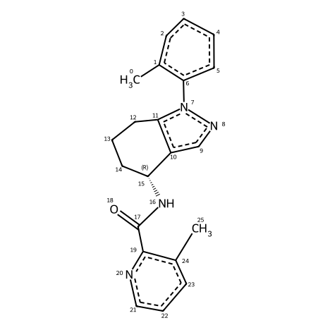 Cc1ccccc1-n1ncc2c1CCC[C@H]2NC(=O)c1ncccc1C